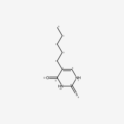 CCCCCc1c[nH]c(=S)[nH]c1=O